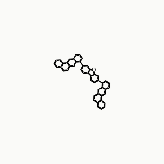 c1cc(-c2ccc3c(c2)oc2cc(-c4cccc5cc6c(ccc7ccccc76)cc45)ccc23)c2cc3ccc4ccccc4c3cc2c1